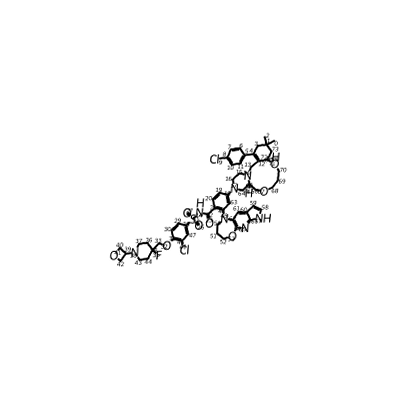 CC1(C)CC(c2ccc(Cl)cc2)=C2CN3CCN(c4ccc(C(=O)NS(=O)(=O)c5ccc(OCC6(F)CCN(C7COC7)CC6)c(Cl)c5)c(N5CCCOc6nc7[nH]ccc7cc65)c4)C[C@H]3COCCCO[C@@H]2C1